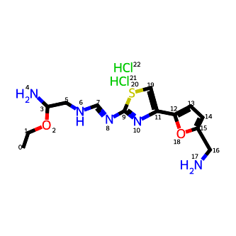 CCOC(N)CNC=Nc1nc(-c2ccc(CN)o2)cs1.Cl.Cl